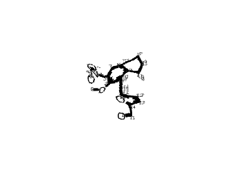 COc1c([N+](=O)[O-])cc2c(c1-c1ccc(C=O)o1)CCCC2